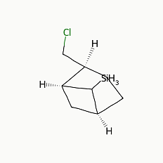 [SiH3]C1[C@H]2CC[C@H](CCl)[C@@H]1C2